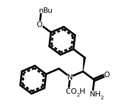 CCCCOc1ccc(C[C@@H](C(N)=O)N(Cc2ccccc2)C(=O)O)cc1